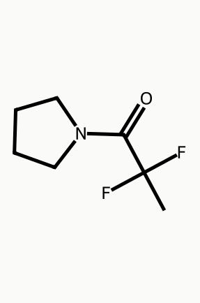 CC(F)(F)C(=O)N1CCCC1